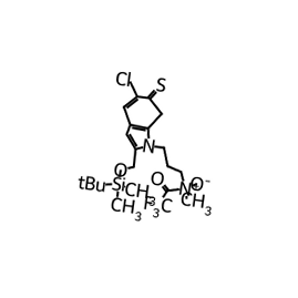 CC(C)(C)[Si](C)(C)OCc1cc2c(n1CCC[N+](C)([O-])C(=O)C(F)(F)F)CC(=S)C(Cl)=C2